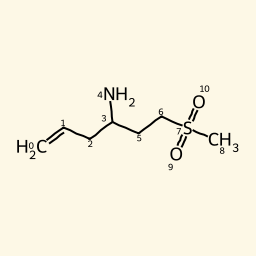 C=CCC(N)CCS(C)(=O)=O